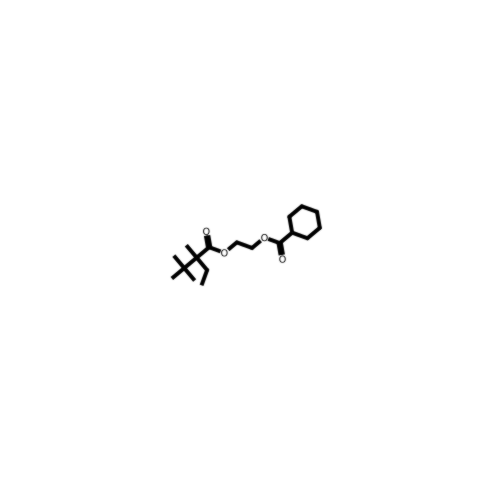 CCC(C)(C(=O)OCCOC(=O)C1CCCCC1)C(C)(C)C